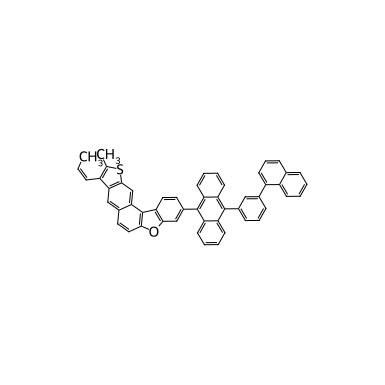 C/C=C\c1c(C)sc2cc3c(ccc4oc5cc(-c6c7ccccc7c(-c7cccc(-c8cccc9ccccc89)c7)c7ccccc67)ccc5c43)cc12